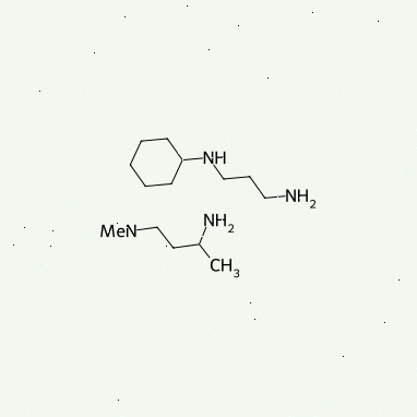 CNCCC(C)N.NCCCNC1CCCCC1